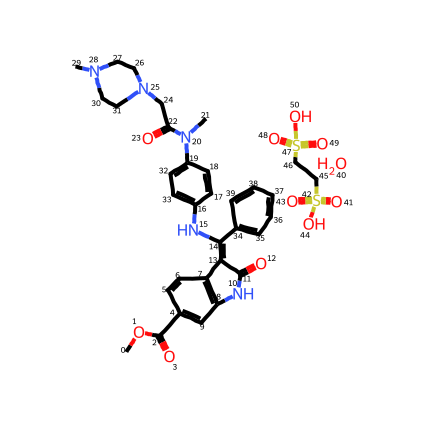 COC(=O)c1ccc2c(c1)NC(=O)C2=C(Nc1ccc(N(C)C(=O)CN2CCN(C)CC2)cc1)c1ccccc1.O.O=S(=O)(O)CCS(=O)(=O)O